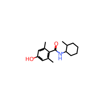 Cc1cc(O)cc(C)c1C(=O)NC1CCCCC1C